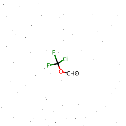 O=COC(F)(F)Cl